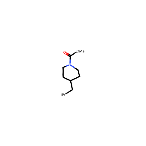 COC(=O)N1CCC(CC(C)C)CC1